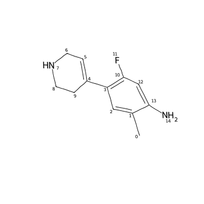 Cc1cc(C2=CCNCC2)c(F)cc1N